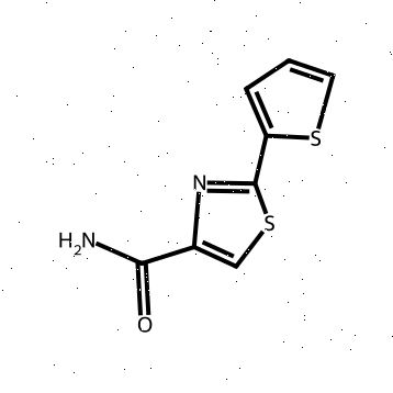 NC(=O)c1csc(-c2cccs2)n1